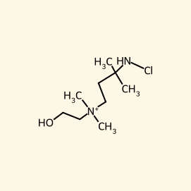 CC(C)(CC[N+](C)(C)CCO)NCl